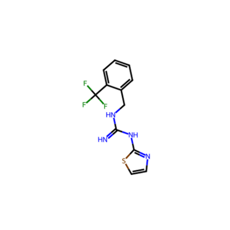 N=C(NCc1ccccc1C(F)(F)F)Nc1nccs1